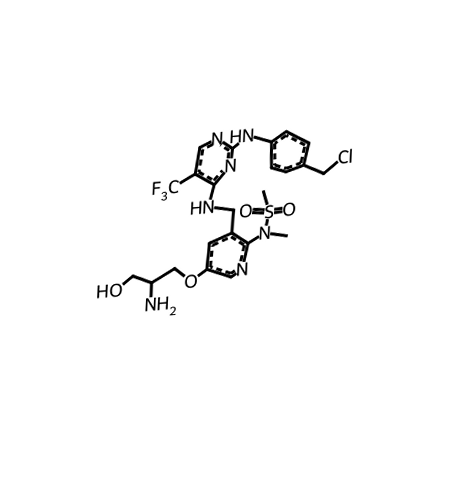 CN(c1ncc(OCC(N)CO)cc1CNc1nc(Nc2ccc(CCl)cc2)ncc1C(F)(F)F)S(C)(=O)=O